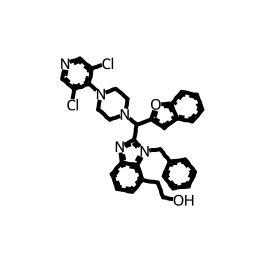 OCCc1cccc2nc(C(c3cc4ccccc4o3)N3CCN(c4c(Cl)cncc4Cl)CC3)n(Cc3ccccc3)c12